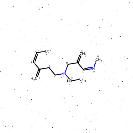 C=C(/C=C\CC)CCN(BC)CC(=C)/C=N\C